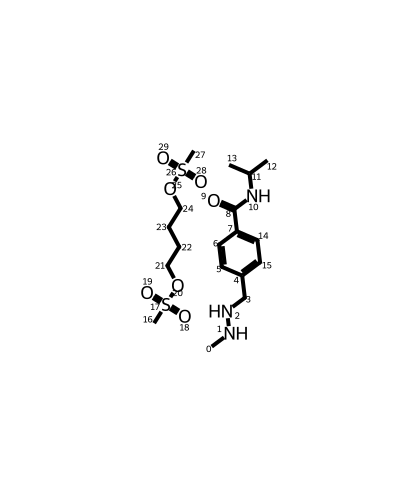 CNNCc1ccc(C(=O)NC(C)C)cc1.CS(=O)(=O)OCCCCOS(C)(=O)=O